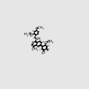 COc1ccc(CNc2nnc(C)c3cc(-c4cc(Cl)c(F)cc4OC)ccc23)c(OC)c1